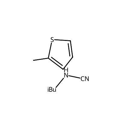 CCC(C)NC#N.Cc1cccs1